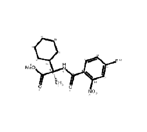 COC(=O)[C@](C)(NC(=O)c1ccc(F)cc1[N+](=O)[O-])C1CCCCC1